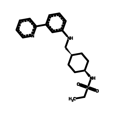 CCS(=O)(=O)N[C@H]1CC[C@H](CNc2cccc(-c3ccccn3)c2)CC1